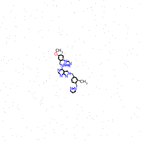 COc1ccc(-n2cnnn2)c(CNc2ncnc3nn(Cc4ccc(Cn5cccn5)c(C)c4)cc23)c1